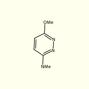 CNc1ccc(OC)nn1